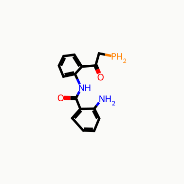 Nc1ccccc1C(=O)Nc1ccccc1C(=O)CP